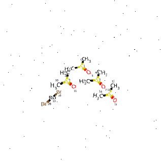 CS(C)=O.CS(C)=O.CS(C)=O.CS(C)=O.[Br][Ru][Br]